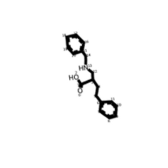 O=C(O)C(CCc1ccccc1)CNCc1ccccc1